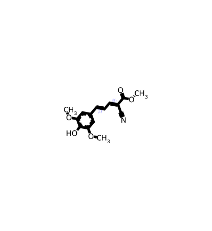 COC(=O)/C(C#N)=C/C=C/c1cc(OC)c(O)c(OC)c1